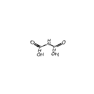 O=[PH](O)[AlH][PH](=O)O